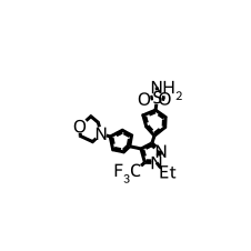 CCn1nc(-c2ccc(S(N)(=O)=O)cc2)c(-c2ccc(N3CCOCC3)cc2)c1C(F)(F)F